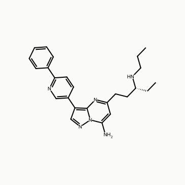 CCCN[C@H](CC)CCc1cc(N)n2ncc(-c3ccc(-c4ccccc4)nc3)c2n1